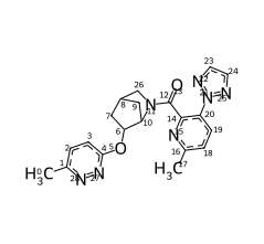 Cc1ccc(OC2CC3CC2N(C(=O)c2nc(C)ccc2-n2nccn2)C3)nn1